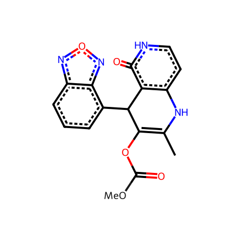 COC(=O)OC1=C(C)Nc2cc[nH]c(=O)c2C1c1cccc2nonc12